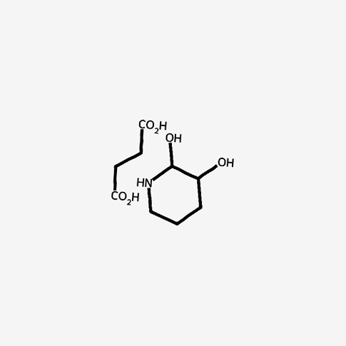 O=C(O)CCC(=O)O.OC1CCCNC1O